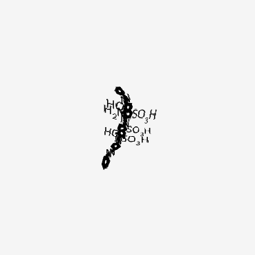 Nc1c(N=Nc2ccc3c(O)c(N=Nc4ccc(N=Nc5ccccc5)cc4)c(S(=O)(=O)O)cc3c2S(=O)(=O)O)cc(S(=O)(=O)O)c2ccc(N=Nc3ccccc3)c(O)c12